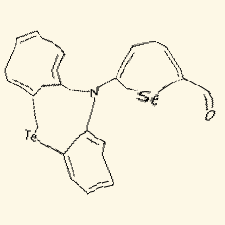 O=Cc1ccc(N2c3ccccc3[Te]c3ccccc32)[se]1